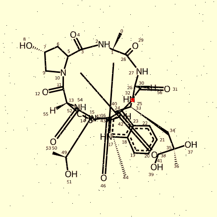 C[C@@H]1NC(=O)C2C[C@@H](O)CN2C(=O)[C@H]2CSc3[nH]c4ccccc4c3C[C@H](NC1=O)C(=O)N[C@@H](C[C@@](C)(O)CO)C(=O)N[C@H](C)C(=O)N[C@H]([C@H](C)O)C(=O)N2